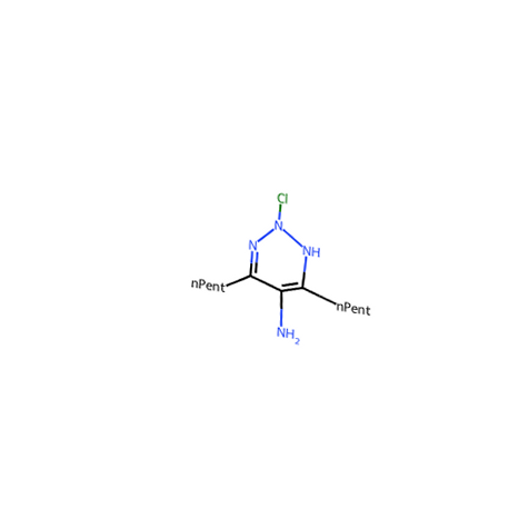 CCCCCC1=NN(Cl)NC(CCCCC)=C1N